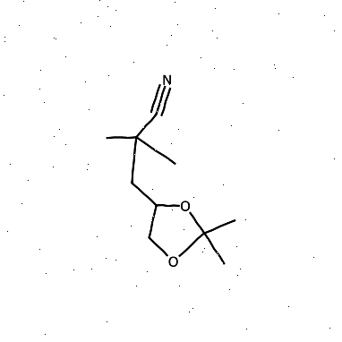 CC(C)(C#N)CC1COC(C)(C)O1